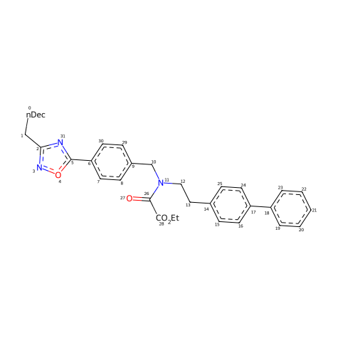 CCCCCCCCCCCc1noc(-c2ccc(CN(CCc3ccc(-c4ccccc4)cc3)C(=O)C(=O)OCC)cc2)n1